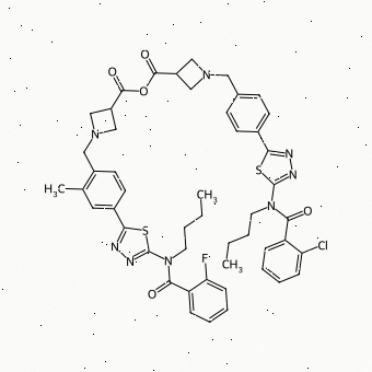 CCCCN(C(=O)c1ccccc1F)c1nnc(-c2ccc(CN3CC(C(=O)OC(=O)C4CN(Cc5ccc(-c6nnc(N(CCCC)C(=O)c7ccccc7Cl)s6)cc5)C4)C3)c(C)c2)s1